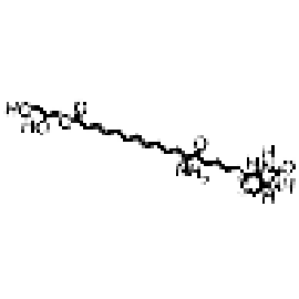 NC(CCCCCCCCCCC(=O)OCC(O)CO)C(=O)CCCC[C@@H]1SC[C@@H]2NC(=O)N[C@@H]21